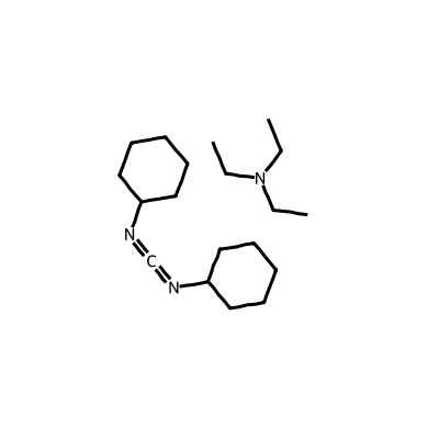 C(=NC1CCCCC1)=NC1CCCCC1.CCN(CC)CC